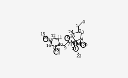 CCC1CCC(NC(=O)Cc2ccc(OC)cc2Cl)(C(=O)OC)CC1